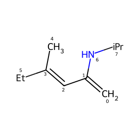 C=C(/C=C(\C)CC)NC(C)C